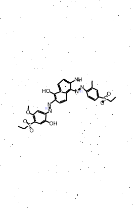 CCS(=O)(=O)c1ccc(/N=N/c2c(NC)ccc3c(O)c(/N=N/c4cc(OC)c(S(=O)(=O)CC)cc4O)ccc23)c(C)c1